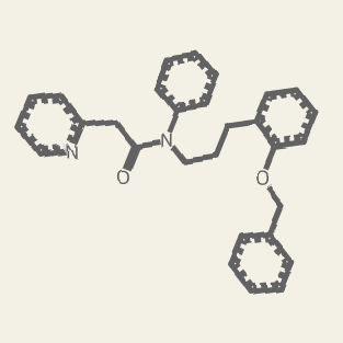 O=C(Cc1ccccn1)N(CCCc1ccccc1OCc1ccccc1)c1ccccc1